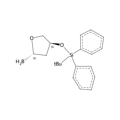 B[C@H]1C[C@H](O[Si](c2ccccc2)(c2ccccc2)C(C)(C)C)CO1